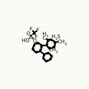 Cc1cc(C)c(-c2ccccc2-c2ccccc2)c(C)c1.O=S(=O)(O)C(F)(F)F.S